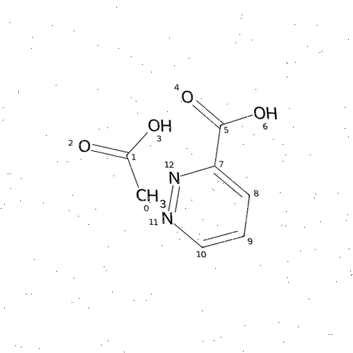 CC(=O)O.O=C(O)c1cccnn1